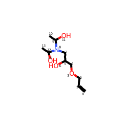 C=CCOCC(O)CN(C(C)O)C(C)O